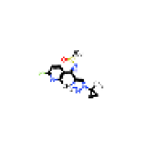 Cc1nc(F)ccc1/C(=N\[S+]([O-])C(C)(C)C)c1cn(C2(C(F)(F)F)CC2)nn1